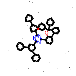 c1ccc(-c2ccc(-c3nc(-c4cc(-c5ccccc5)cc(-c5ccccc5)c4)nc(-c4cccc5c4OC(c4ccccc4)(c4ccccc4)c4ccccc4-5)n3)cc2)cc1